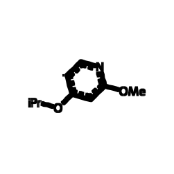 COc1cc(OC(C)C)[c]cn1